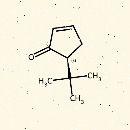 CC(C)(C)[C@@H]1CC=CC1=O